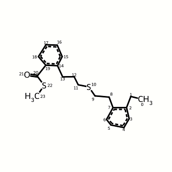 CCc1ccccc1CCSCCCc1ccccc1C(=O)SC